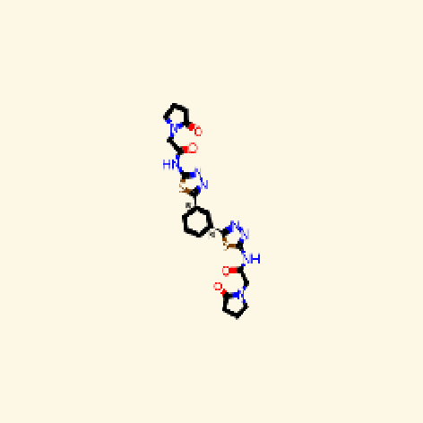 O=C(CN1CCCC1=O)Nc1nnc([C@@H]2CCC[C@@H](c3nnc(NC(=O)CN4CCCC4=O)s3)C2)s1